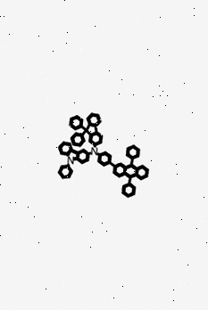 c1ccc(-c2c3ccccc3c(-c3ccccc3)c3cc(-c4ccc(N(c5ccc6c(c5)C(c5ccccc5)(c5ccccc5)c5ccccc5-6)c5ccc6c(c5)c5ccccc5n6-c5ccccc5)cc4)ccc23)cc1